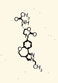 CCn1cc2c(n1)-c1ccc(N3C[C@H](CNC(C)=O)OC3=O)cc1OCC2